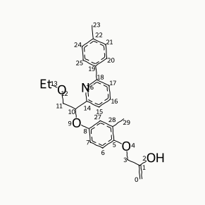 C=C(O)COc1ccc(OC(COCC)c2cccc(-c3ccc(C)cc3)n2)cc1C